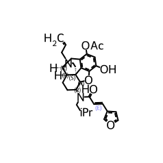 C=CCN1CC[C@]23c4c5c(OC(C)=O)cc(O)c4O[C@H]2[C@H](N(CC(C)C)C(=O)/C=C/c2ccoc2)CC[C@H]3[C@H]1C5